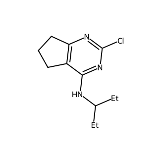 CCC(CC)Nc1nc(Cl)nc2c1CCC2